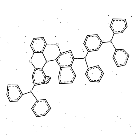 c1ccc(N(c2ccccc2)c2cccc(N(c3ccccc3)c3cc4c(c5ccccc35)B3c5c(cccc5O4)Oc4cc(N(c5ccccc5)c5ccccc5)c5ccccc5c43)c2)cc1